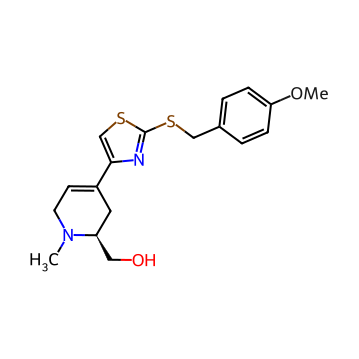 COc1ccc(CSc2nc(C3=CCN(C)[C@H](CO)C3)cs2)cc1